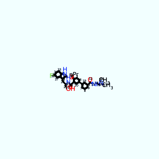 CCCOc1ccc(-c2cccc(C(=O)NCCN(C)C)c2)cc1C(=O)NC(CO)Cc1c[nH]c2ccc(F)cc12